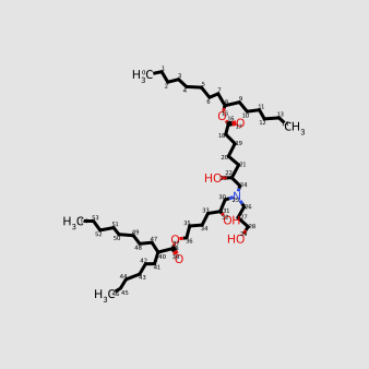 CCCCCCCCC(CCCCCC)OC(=O)CCCCC(O)CN(CCCO)CC(O)CCCCOC(=O)C(CCCCCC)CCCCCCCC